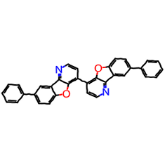 c1ccc(-c2ccc3oc4c(-c5ccnc6c5oc5ccc(-c7ccccc7)cc56)ccnc4c3c2)cc1